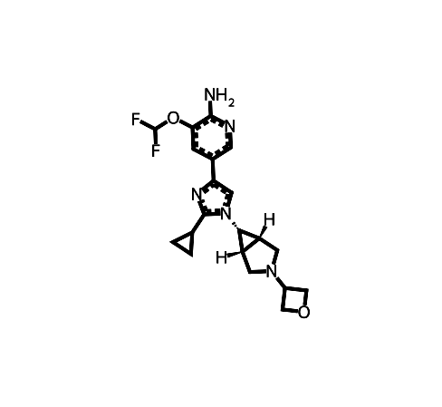 Nc1ncc(-c2cn([C@@H]3[C@@H]4CN(C5COC5)C[C@@H]43)c(C3CC3)n2)cc1OC(F)F